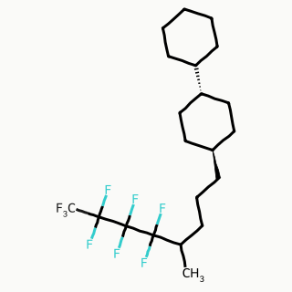 CC(CCC[C@H]1CC[C@H](C2CCCCC2)CC1)C(F)(F)C(F)(F)C(F)(F)C(F)(F)F